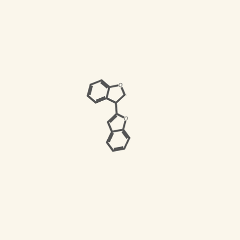 [C]1Oc2ccccc2C1c1cc2ccccc2o1